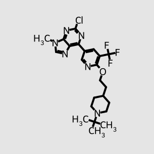 Cn1cnc2c(-c3cnc(OCCC4CCN(C(C)(C)C)CC4)c(C(F)(F)F)c3)nc(Cl)nc21